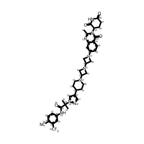 Cc1nc2cc(N3CC(N4CC(N5CCC(c6cnn(C(C)(C)C(=O)Nc7ccc(C#N)c(C(F)(F)F)c7)c6)CC5)C4)C3)ccc2c(=O)n1C1CCC(=O)NC1=O